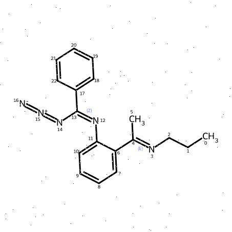 CCC/N=C(\C)c1ccccc1/N=C(\N=[N+]=[N-])c1ccccc1